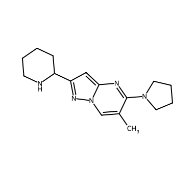 Cc1cn2nc(C3CCCCN3)cc2nc1N1CCCC1